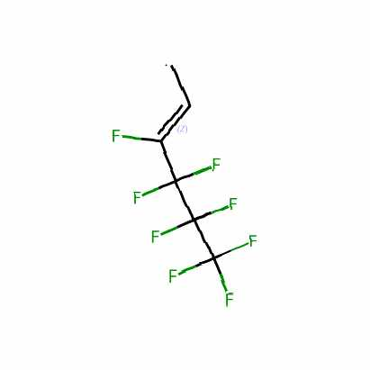 [CH2]/C=C(\F)C(F)(F)C(F)(F)C(F)(F)F